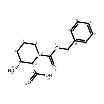 C[C@@H]1CCCN(C(=O)OCc2ccccc2)[C@@H]1C(=O)O